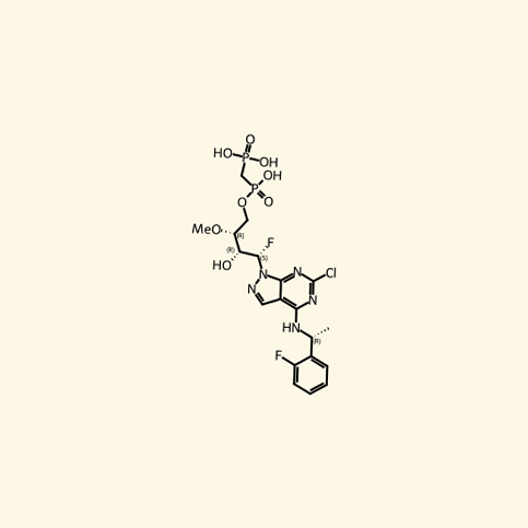 CO[C@H](COP(=O)(O)CP(=O)(O)O)[C@@H](O)[C@H](F)n1ncc2c(N[C@H](C)c3ccccc3F)nc(Cl)nc21